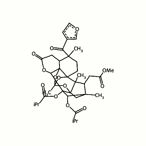 COC(=O)CC1C2(C)CC34OC5(C)OC67C(CC(=O)OC6C3(OC(=O)C(C)C)C2OC(=O)C(C)C)C(C)(C(=O)c2ccoc2)CCC7(O5)C14C